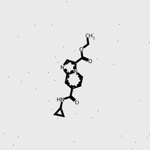 CCOC(=O)c1cnc2cc(C(=O)NC3CC3)ccn12